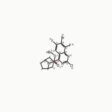 CCCCOC(=O)N1C2CCC1CN(c1nc(Cl)nc3c(F)c(Br)c(F)cc13)C2